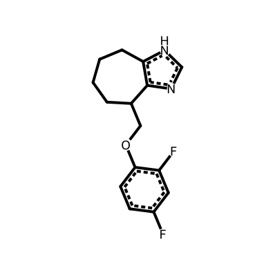 Fc1ccc(OCC2CCCCc3[nH]cnc32)c(F)c1